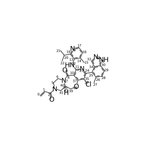 C=CC(=O)N1CCN2C(=O)c3c(Nc4c(C)ccnc4C(C)C)nc(-c4c(C)ccc5[nH]ncc45)c(Cl)c3OC[C@H]2C1